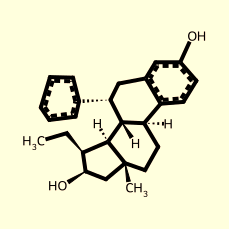 CC[C@H]1[C@H]2[C@H]3[C@H](CC[C@]2(C)C[C@H]1O)c1ccc(O)cc1C[C@H]3c1ccccc1